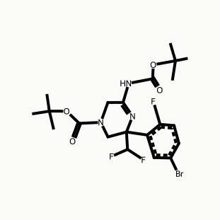 CC(C)(C)OC(=O)NC1=NC(c2cc(Br)ccc2F)(C(F)F)CN(C(=O)OC(C)(C)C)C1